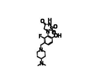 CN(C)C1CCN(Cc2ccc(O)c(N3CC(=O)NS3(=O)=O)c2F)CC1